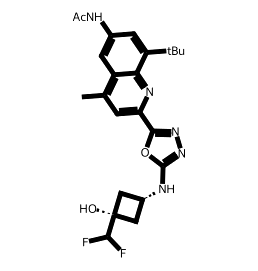 CC(=O)Nc1cc(C(C)(C)C)c2nc(-c3nnc(N[C@H]4C[C@](O)(C(F)F)C4)o3)cc(C)c2c1